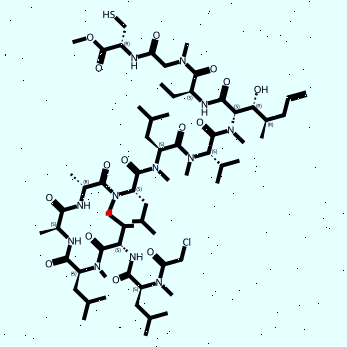 C=CC[C@@H](C)[C@@H](O)[C@@H](C(=O)N[C@@H](CC)C(=O)N(C)CC(=O)N[C@@H](CS)C(=O)OC)N(C)C(=O)[C@H](C(C)C)N(C)C(=O)[C@H](CC(C)C)N(C)C(=O)[C@H](CC(C)C)N(C)C(=O)[C@@H](C)NC(=O)[C@H](C)NC(=O)[C@H](CC(C)C)N(C)C(=O)[C@@H](NC(=O)[C@H](CC(C)C)N(C)C(=O)CCl)C(C)C